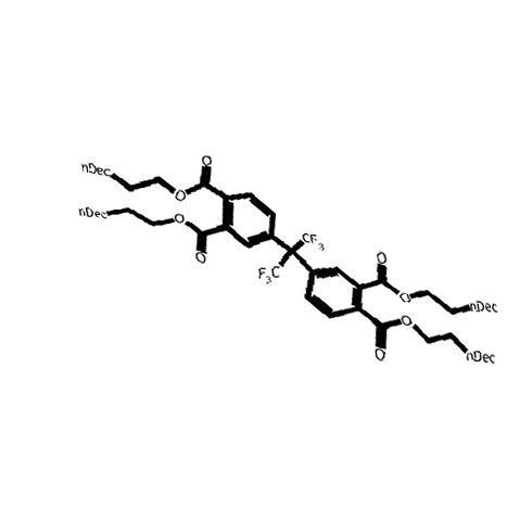 CCCCCCCCCCCCOC(=O)c1ccc(C(c2ccc(C(=O)OCCCCCCCCCCCC)c(C(=O)OCCCCCCCCCCCC)c2)(C(F)(F)F)C(F)(F)F)cc1C(=O)OCCCCCCCCCCCC